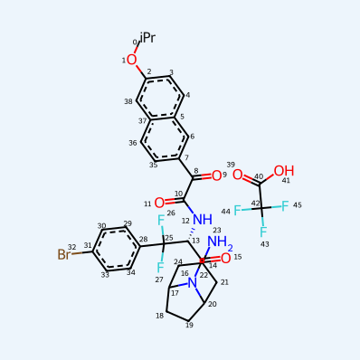 CC(C)Oc1ccc2cc(C(=O)C(=O)N[C@H](C(=O)N3C4CCC3CC(N)C4)C(F)(F)c3ccc(Br)cc3)ccc2c1.O=C(O)C(F)(F)F